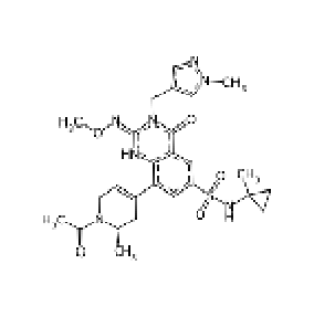 CO/N=c1\[nH]c2c(C3=CCN(C(C)=O)[C@H](C)C3)cc(S(=O)(=O)NC3(C)CC3)cc2c(=O)n1Cc1cnn(C)c1